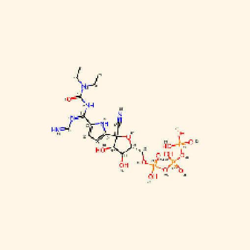 CCN(CC)C(=O)N/C(=N/C=N)c1ccc([C@]2(C#N)O[C@H](COP(=O)(O)OP(=O)(O)OP(=O)(O)O)[C@@H](O)[C@H]2O)[nH]1